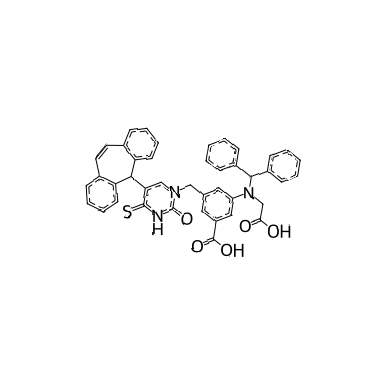 O=C(O)CN(c1cc(Cn2cc(C3c4ccccc4C=Cc4ccccc43)c(=S)[nH]c2=O)cc(C(=O)O)c1)C(c1ccccc1)c1ccccc1